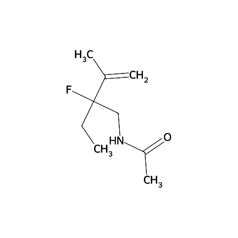 C=C(C)C(F)(CC)CNC(C)=O